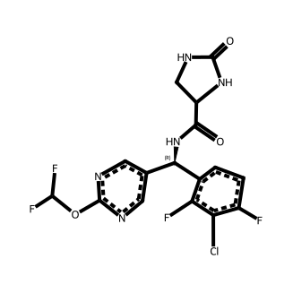 O=C1NCC(C(=O)N[C@H](c2cnc(OC(F)F)nc2)c2ccc(F)c(Cl)c2F)N1